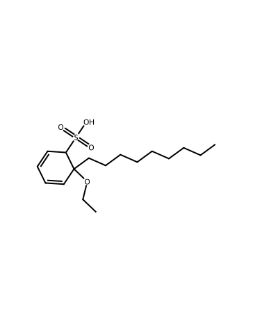 CCCCCCCCCC1(OCC)C=CC=CC1S(=O)(=O)O